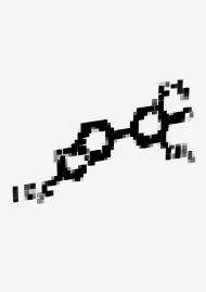 Cc1cc(-c2ccc3nc(C(=O)O)cn3c2)cn(C)c1=O